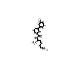 C=C(/C=C\C=C/N)NC(=O)c1cccc(-c2cccc(Cl)c2)n1